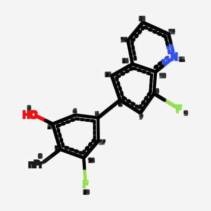 CCCc1c(O)cc(-c2cc(F)c3ncccc3c2)cc1F